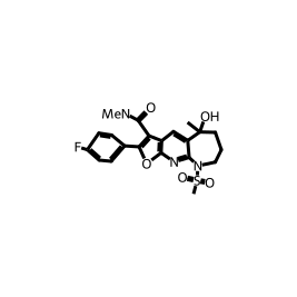 CNC(=O)c1c(-c2ccc(F)cc2)oc2nc3c(cc12)C(C)(O)CCCN3S(C)(=O)=O